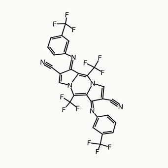 N#Cc1cn2c(C(F)(F)F)c3/c(=N/c4cccc(C(F)(F)F)c4)c(C#N)cn3c(C(F)(F)F)c2/c1=N/c1cccc(C(F)(F)F)c1